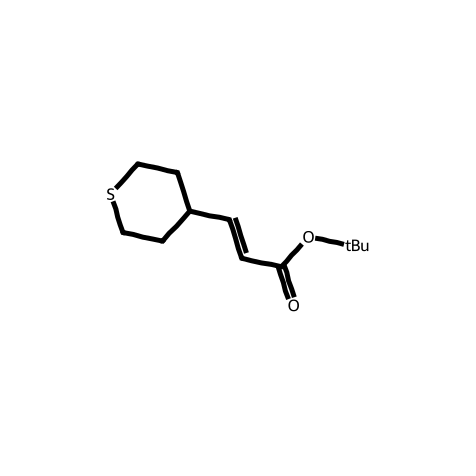 CC(C)(C)OC(=O)C=CC1CCSCC1